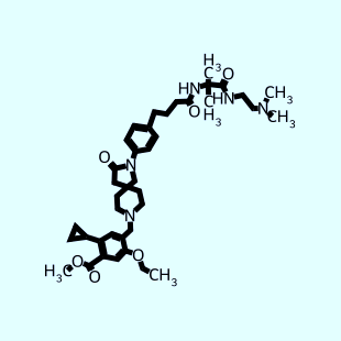 CCOc1cc(C(=O)OC)c(C2CC2)cc1CN1CCC2(CC1)CC(=O)N(c1ccc(CCCC(=O)NC(C)(C)C(=O)NCCN(C)C)cc1)C2